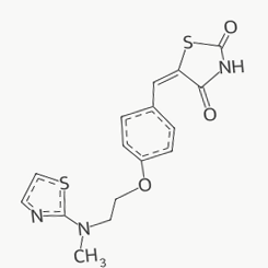 CN(CCOc1ccc(C=C2SC(=O)NC2=O)cc1)c1nccs1